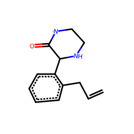 C=CCc1ccccc1C1NCC[N]C1=O